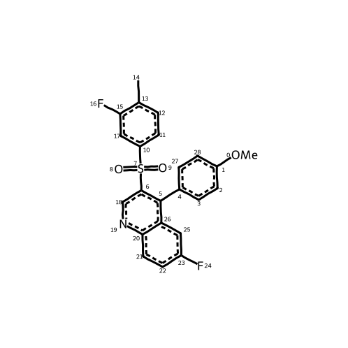 COc1ccc(-c2c(S(=O)(=O)c3ccc(C)c(F)c3)cnc3ccc(F)cc23)cc1